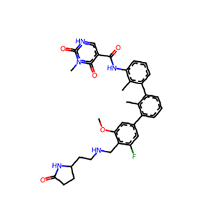 COc1cc(-c2cccc(-c3cccc(NC(=O)c4c[nH]c(=O)n(C)c4=O)c3C)c2C)cc(F)c1CNCCC1CCC(=O)N1